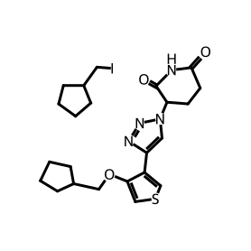 ICC1CCCC1.O=C1CCC(n2cc(-c3cscc3OCC3CCCC3)nn2)C(=O)N1